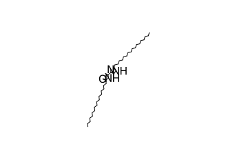 CCCCCCCCCCCCCCCCCC(=O)NC(C)c1c[nH]c(CCCCCCCCCCCCCCCCC)n1